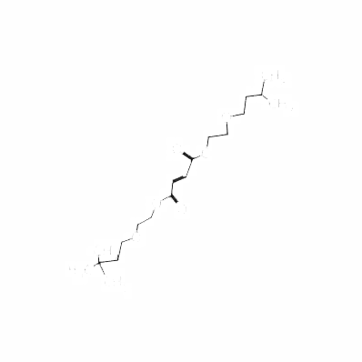 CC(C)CCOCCOC(=O)/C=C/C(=O)OCCOCCC(C)(C)C